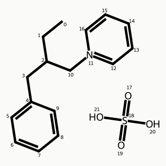 CCC(Cc1ccccc1)C[n+]1ccccc1.O=S(=O)(O)O